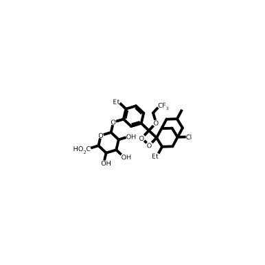 CCc1ccc(C2(OCC(F)(F)F)OOC23C(CC)CC2(Cl)CC(C)CC3C2)cc1OC1OC(C(=O)O)C(O)C(O)C1O